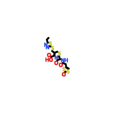 CCc1nnc(SCC2=C(C(=O)O)N3C(=O)C(NC(=O)Cc4csc(=O)s4)C3SC2)s1